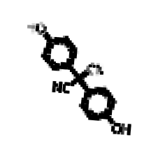 N#CC(C#N)(c1ccc(O)cc1)c1ccc(O)cc1